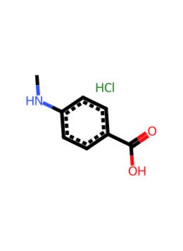 CNc1ccc(C(=O)O)cc1.Cl